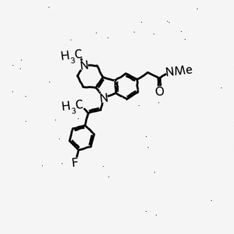 CNC(=O)Cc1ccc2c(c1)c1c(n2C=C(C)c2ccc(F)cc2)CCN(C)C1